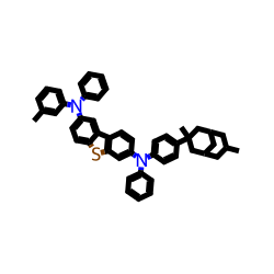 Cc1cccc(N(c2ccccc2)c2ccc3sc4cc(N(c5ccccc5)c5ccc(C6(C)CC7CC(C)CC(C7)C6)cc5)ccc4c3c2)c1